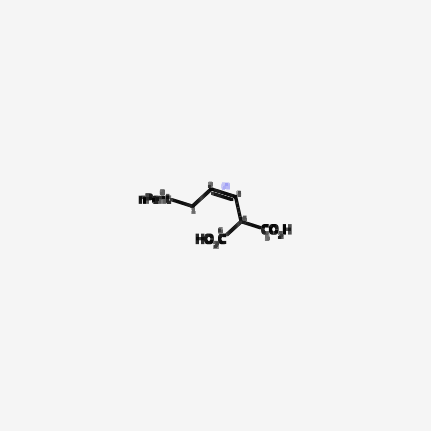 CCCCCC/C=C\C(C(=O)O)C(=O)O